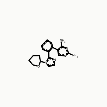 Nc1ncc(-c2ccccc2-c2nccn2C2CCCCO2)c(N)n1